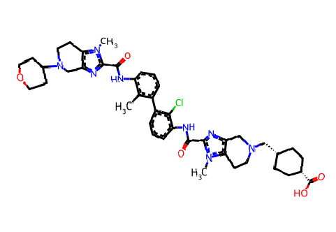 Cc1c(NC(=O)c2nc3c(n2C)CCN(C2CCOCC2)C3)cccc1-c1cccc(NC(=O)c2nc3c(n2C)CCN(C[C@H]2CC[C@@H](C(=O)O)CC2)C3)c1Cl